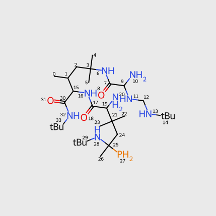 CC(CC(C)(C)NC(=O)C(N)NCNC(C)(C)C)C(NC(=O)C(N)C(C)(C)CC(C)(P)NC(C)(C)C)C(=O)NC(C)(C)C